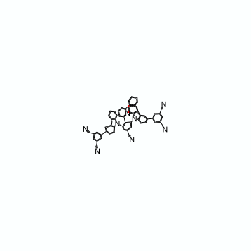 N#Cc1cc(C#N)cc(-c2ccc3c(c2)c2ccccc2n3-c2cc(C#N)cc(-n3c4ccccc4c4cc(-c5cc(C#N)cc(C#N)c5)ccc43)c2-c2cccc(-c3ccccc3)n2)c1